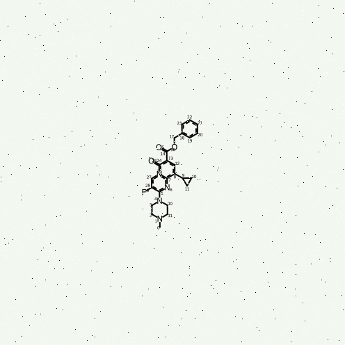 CN1CCN(c2nc3c(C4CC4)cc(C(=O)OCc4ccccc4)c(=O)n3cc2F)CC1